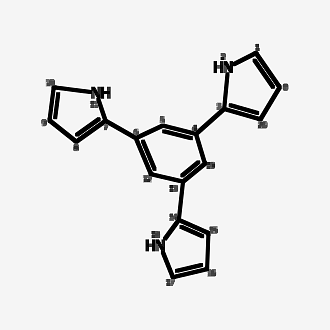 c1c[nH]c(-c2cc(-c3ccc[nH]3)cc(-c3ccc[nH]3)c2)c1